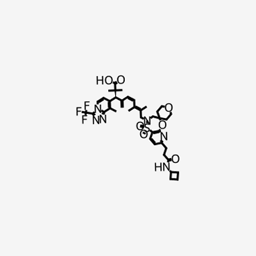 C=C(/C=C\C(C)=C(/C)CN1CC2(CCOCC2)Oc2nc(CCC(=O)NC3CCC3)ccc2S1(=O)=O)[C@@H](c1ccn2c(C(F)(F)F)nnc2c1C)C(C)(C)C(=O)O